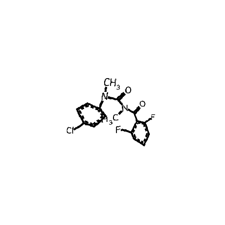 CN(C(=O)c1c(F)cccc1F)C(=O)N(C)c1ccc(Cl)cc1